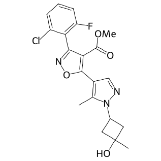 COC(=O)c1c(-c2c(F)cccc2Cl)noc1-c1cnn(C2CC(C)(O)C2)c1C